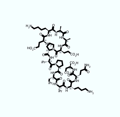 CC(C)C[C@H](NC(=O)[C@@H]1CCCN1C(=O)[C@@H](NC(=O)[C@@H]1CCCN1C(=O)[C@H](CCC(=O)O)NC(=O)[C@H](C)NC(=O)[C@H](C)NC(=O)[C@H](CCCCN)NC(=O)[C@@H](N)CCC(=O)O)C(C)C)C(=O)N[C@H](C(=O)N[C@@H](CCCCN)C(=O)N[C@@H](CCC(N)=O)C(=O)N[C@@H](CC(=O)O)C(=O)O)C(C)C